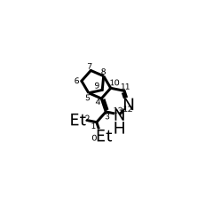 CCC(CC)C1=C2C3CCC(C3)C2C=NN1